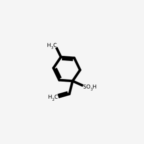 C=CC1(S(=O)(=O)O)C=CC(C)=CC1